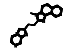 Cn1c(CCc2cn3ccncc3n2)nc2c3ccccc3ccc21